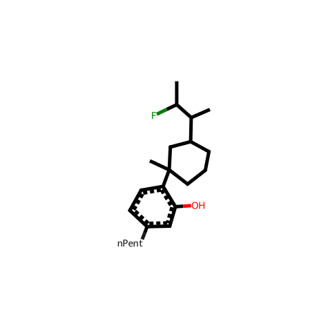 CCCCCc1ccc(C2(C)CCCC(C(C)C(C)F)C2)c(O)c1